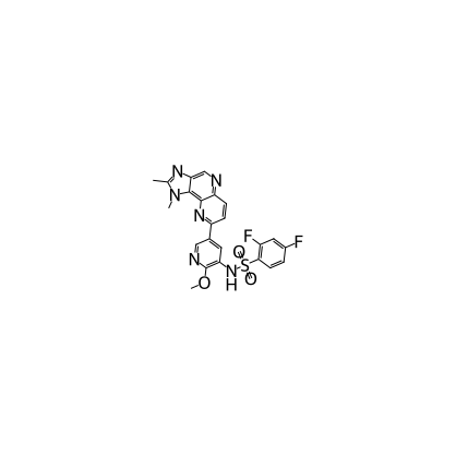 COc1ncc(-c2ccc3ncc4nc(C)n(C)c4c3n2)cc1NS(=O)(=O)c1ccc(F)cc1F